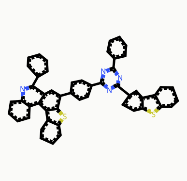 c1ccc(-c2nc(-c3ccc(-c4cc5c(-c6ccccc6)nc6ccccc6c5c5c4sc4ccccc45)cc3)nc(-c3ccc4sc5ccccc5c4c3)n2)cc1